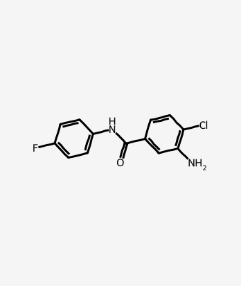 Nc1cc(C(=O)Nc2ccc(F)cc2)ccc1Cl